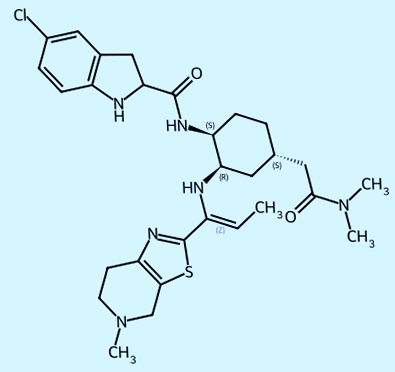 C/C=C(\N[C@@H]1C[C@@H](CC(=O)N(C)C)CC[C@@H]1NC(=O)C1Cc2cc(Cl)ccc2N1)c1nc2c(s1)CN(C)CC2